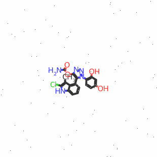 Cc1c(Cl)[nH]c2cccc(-c3c(OC(N)=O)nnn3-c3ccc(O)cc3O)c12